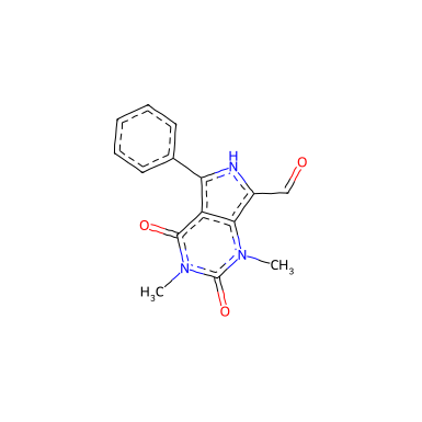 Cn1c(=O)c2c(-c3ccccc3)[nH]c(C=O)c2n(C)c1=O